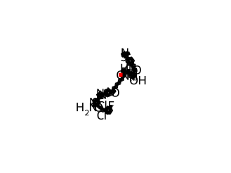 Cc1ncsc1-c1ccc(CNC(=O)[C@@H]2C[C@@H](O)CN2C(=O)[C@@H](NC(=O)CCCCCCC(=O)N2CCC(n3cc(-c4cnc(N)c(OCCc5c(Cl)ccc(F)c5Cl)c4)cn3)CC2)C(C)(C)C)cc1